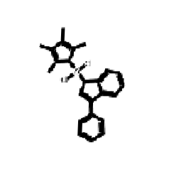 CC1=C(C)[CH]([Zr]([Cl])([Cl])[CH]2C=C(c3ccccc3)c3ccccc32)C(C)=C1C